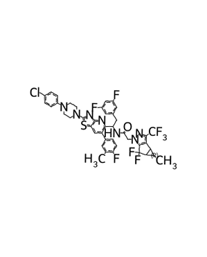 Cc1cc(-c2cc3sc(N4CCN(c5ccc(Cl)cc5)CC4)nc3nc2C(Cc2cc(F)cc(F)c2)NC(=O)Cn2nc(C(F)(F)F)c3c2C(F)(F)C2C3[C@H]2C)ccc1F